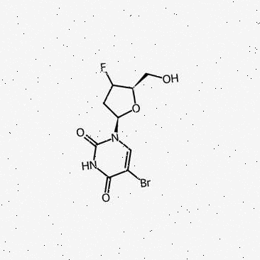 O=c1[nH]c(=O)n([C@H]2CC(F)[C@@H](CO)O2)cc1Br